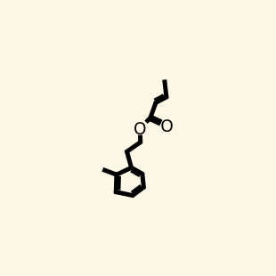 CC=CC(=O)OCCc1ccccc1C